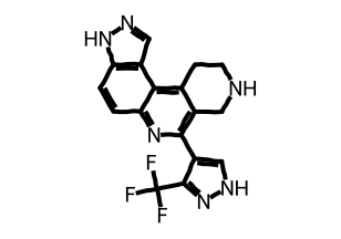 FC(F)(F)c1n[nH]cc1-c1nc2ccc3[nH]ncc3c2c2c1CNCC2